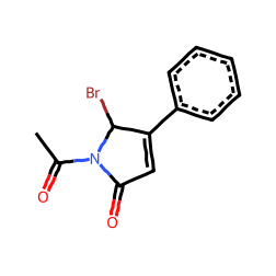 CC(=O)N1C(=O)C=C(c2ccccc2)C1Br